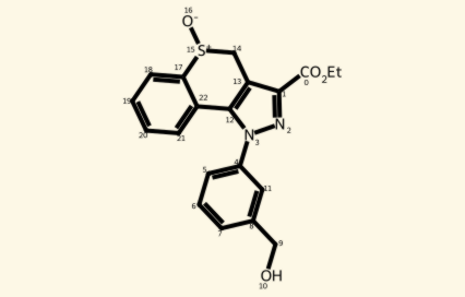 CCOC(=O)c1nn(-c2cccc(CO)c2)c2c1C[S+]([O-])c1ccccc1-2